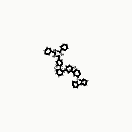 C1=CC(n2c3ccccc3c3ccccc32)Cc2c1oc1ccc(-c3cccc4oc5cc(C6NC(c7ccccc7)NC(c7ccccc7)N6)ccc5c34)cc21